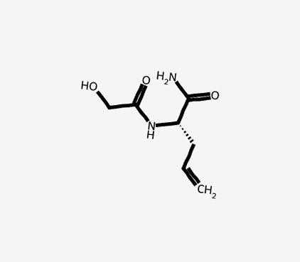 C=CC[C@H](NC(=O)CO)C(N)=O